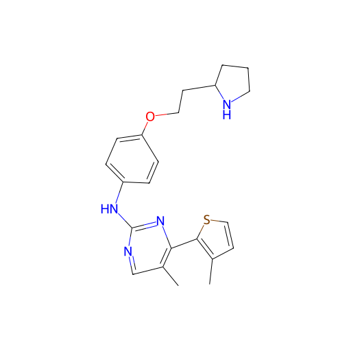 Cc1cnc(Nc2ccc(OCCC3CCCN3)cc2)nc1-c1sccc1C